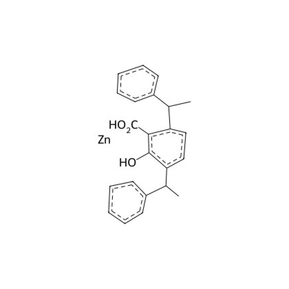 CC(c1ccccc1)c1ccc(C(C)c2ccccc2)c(C(=O)O)c1O.[Zn]